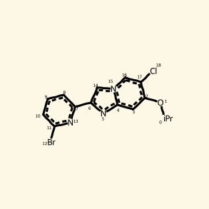 CC(C)Oc1cc2nc(-c3cccc(Br)n3)cn2cc1Cl